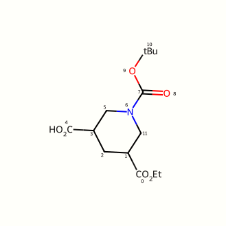 CCOC(=O)C1CC(C(=O)O)CN(C(=O)OC(C)(C)C)C1